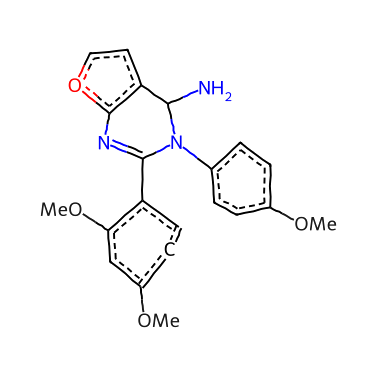 COc1ccc(N2C(c3ccc(OC)cc3OC)=Nc3occc3C2N)cc1